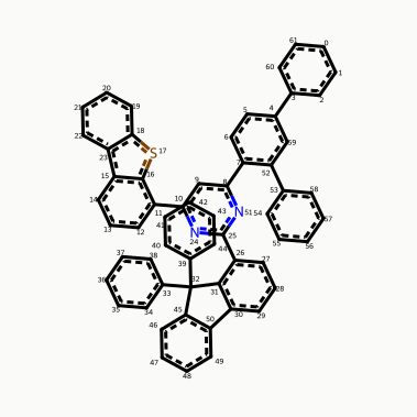 c1ccc(-c2ccc(-c3cc(-c4cccc5c4sc4ccccc45)nc(-c4cccc5c4C(c4ccccc4)(c4ccccc4)c4ccccc4-5)n3)c(-c3ccccc3)c2)cc1